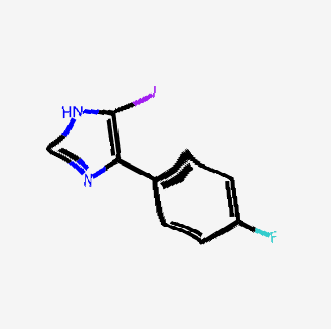 Fc1ccc(-c2nc[nH]c2I)cc1